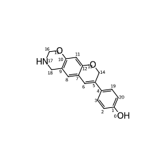 Oc1ccc(C2=Cc3cc4c(cc3OC2)OCNC4)cc1